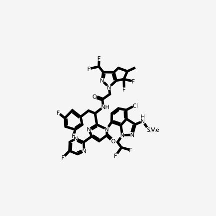 CSNc1nn(CC(F)F)c2c(-n3c(C(Cc4cc(F)cc(F)c4)NC(=O)Cn4nc(C(F)F)c5c4C(F)(F)C(C)C5)nc(-c4ncc(F)cn4)cc3=O)ccc(Cl)c12